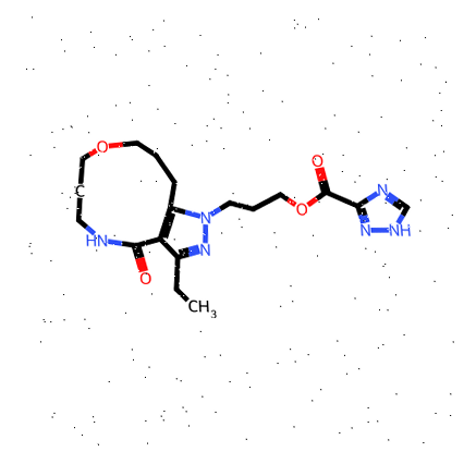 CCc1nn(CCCOC(=O)c2nc[nH]n2)c2c1C(=O)NCCCOCCC2